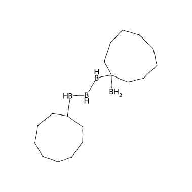 BC1(BBBC2CCCCCCCC2)CCCCCCCC1